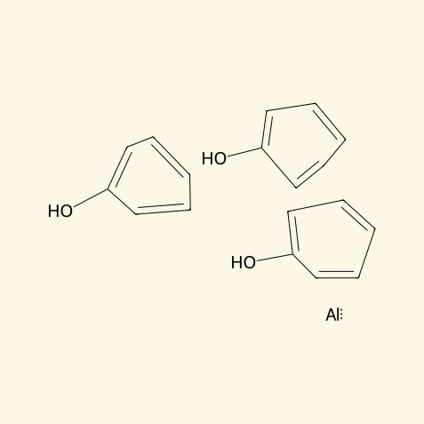 Oc1ccccc1.Oc1ccccc1.Oc1ccccc1.[Al]